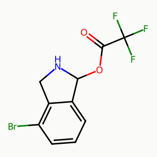 O=C(OC1NCc2c(Br)cccc21)C(F)(F)F